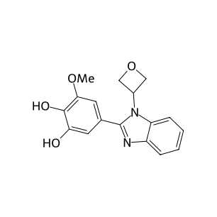 COc1cc(-c2nc3ccccc3n2C2COC2)cc(O)c1O